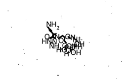 [N-]=[N+]=NCOC1CC(n2cc(C#CCN)c3c(=O)[nH]c(N)nc32)OC1CO[PH](O)(O)OP(O)OPO